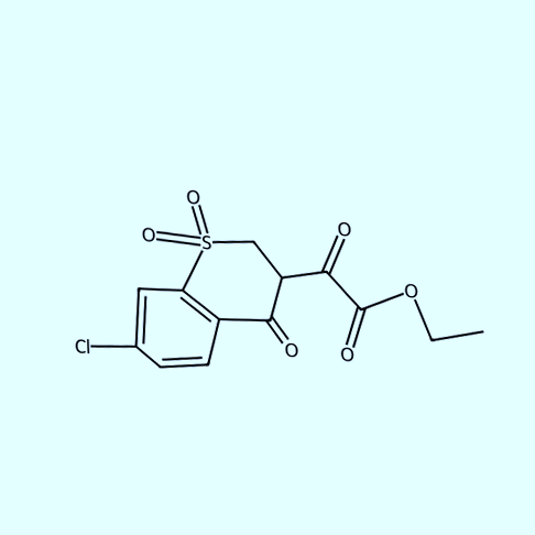 CCOC(=O)C(=O)C1CS(=O)(=O)c2cc(Cl)ccc2C1=O